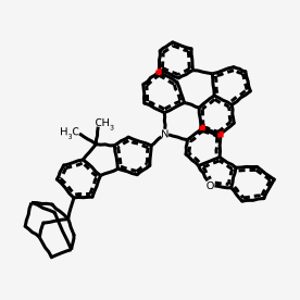 CC1(C)c2ccc(C34CC5CC(CC(C5)C3)C4)cc2-c2ccc(N(c3ccc4c(c3)oc3ccccc34)c3ccccc3-c3cccc4cccc(-c5ccccc5)c34)cc21